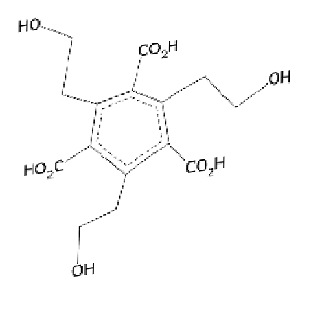 O=C(O)c1c(CCO)c(C(=O)O)c(CCO)c(C(=O)O)c1CCO